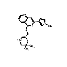 CC1(C)CNC[C@@H](COc2nc(-c3ccn(C(C)(C)C)c3)cc3ncccc23)O1